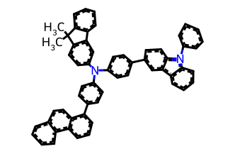 CC1(C)c2ccccc2-c2cc(N(c3ccc(-c4ccc5c(c4)c4ccccc4n5-c4ccccc4)cc3)c3ccc(-c4cccc5c4ccc4ccccc45)cc3)ccc21